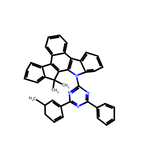 CC1C=C(c2nc(-c3ccccc3)nc(-n3c4ccccc4c4c5ccccc5c5c(c43)C(C)(C)c3ccccc3-5)n2)C=CC1